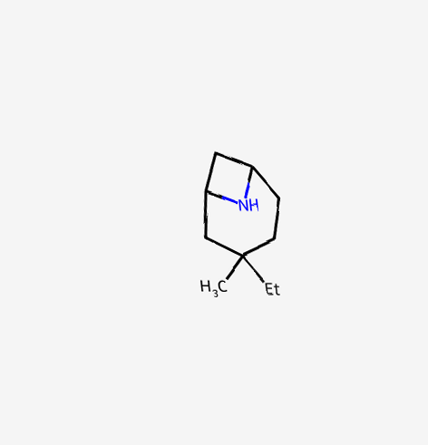 CCC1(C)CCC2CC(C1)N2